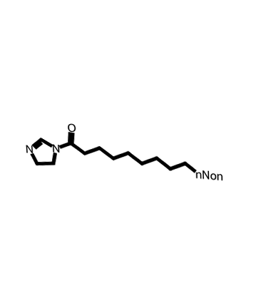 CCCCCCCCCCCCCCCCCC(=O)N1C=NCC1